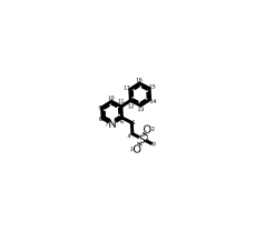 CS(=O)(=O)CCc1ncccc1-c1ccccc1